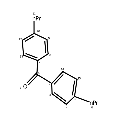 CCCc1ccc(C(=O)c2ccc(CCC)cc2)cc1